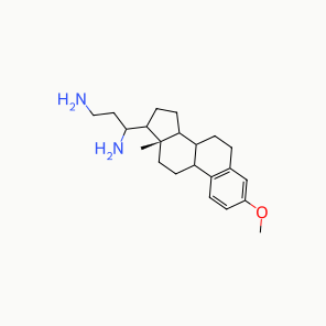 COc1ccc2c(c1)CCC1C2CC[C@]2(C)C(C(N)CCN)CCC12